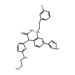 NC(=O)C(c1cccc(NCCO)n1)c1ccc(-c2cn[nH]c2)nc1NCCc1cccc(F)c1